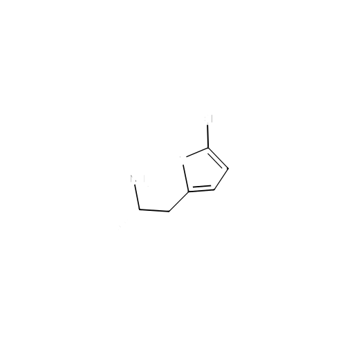 C[C@H](N)Cc1ccc(Cl)s1